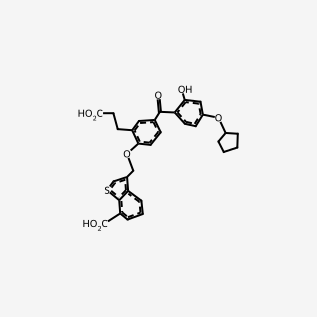 O=C(O)CCc1cc(C(=O)c2ccc(OC3CCCC3)cc2O)ccc1OCc1csc2c(C(=O)O)cccc12